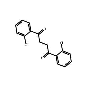 O=C(CCC(=O)c1ccccc1Cl)c1ccccc1Cl